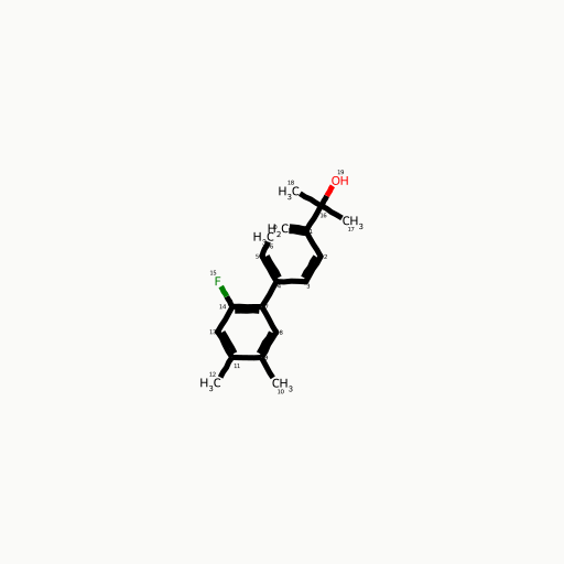 C=C(/C=C\C(=C/C)c1cc(C)c(C)cc1F)C(C)(C)O